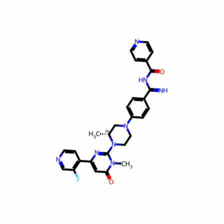 C[C@@H]1CN(c2ccc(C(=N)NC(=O)c3ccncc3)cc2)CCN1c1nc(-c2ccncc2F)cc(=O)n1C